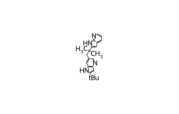 CC(C)(C)c1cc2ncc(CC(C)(C)c3cc4cccnc4[nH]3)cc2[nH]1